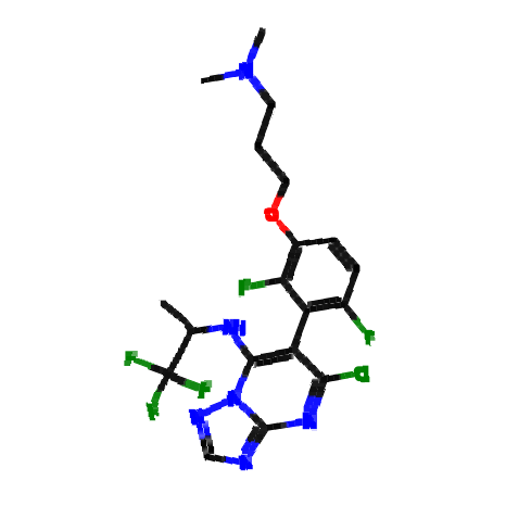 CC(Nc1c(-c2c(F)ccc(OCCCN(C)C)c2F)c(Cl)nc2ncnn12)C(F)(F)F